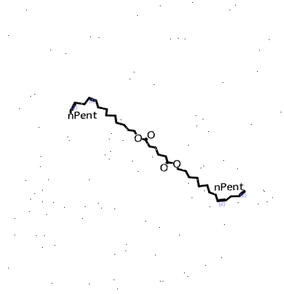 CCCCC/C=C\C/C=C\CCCCCCCCOC(=O)CCCCC(=O)OCCCCCCCC/C=C\C/C=C\CCCCC